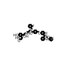 O=C(NC(c1ccccc1)c1cccc(OCc2ccc(C(=O)N(CCCNC[C@@H](O)c3ccc(O)c4[nH]c(=O)ccc34)Cc3ccccc3F)cc2)c1)O[C@H]1CN2CCC1CC2